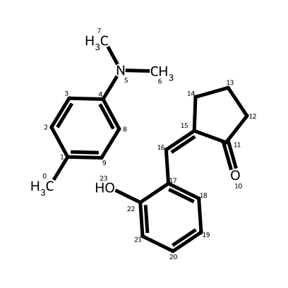 Cc1ccc(N(C)C)cc1.O=C1CCCC1=Cc1ccccc1O